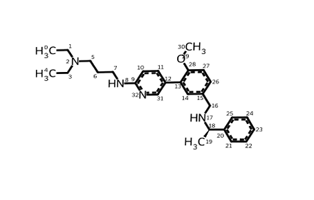 CCN(CC)CCCNc1ccc(-c2cc(CN[C@H](C)c3ccccc3)ccc2OC)cn1